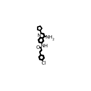 Nc1cc(C2CCCC2)nc2ccc(NC(=O)/C=C/c3ccc(Cl)cc3)cc12